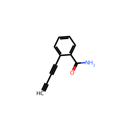 C#CC#Cc1ccccc1C(N)=O